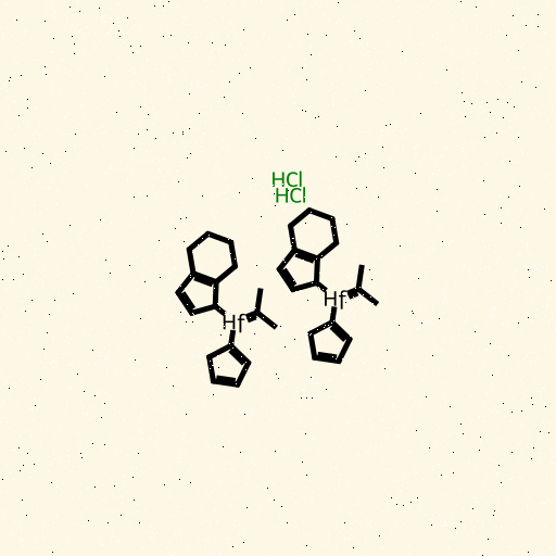 C[C](C)=[Hf]([C]1=CC=CC1)[CH]1C=CC2=C1CCCC2.C[C](C)=[Hf]([C]1=CC=CC1)[CH]1C=CC2=C1CCCC2.Cl.Cl